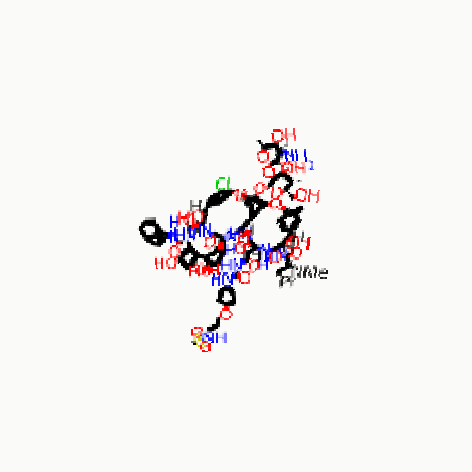 CN[C@H](CC(C)C)C(=O)N[C@H]1C(=O)N[C@@H](CC(=O)NC(=O)Nc2ccc(OCCCNS(C)(=O)=O)cc2)C(=O)N[C@H]2C(=O)N[C@H]3C(=O)N[C@H](C(=O)N[C@H](C(=O)NC4C5CC6CC(C5)CC4C6)c4cc(O)cc(O)c4-c4cc3ccc4O)[C@H](O)c3ccc(c(Cl)c3)Oc3cc2cc(c3O[C@@H]2O[C@H](CO)[C@@H](C)[C@H](O)[C@H]2O[C@H]2C[C@](C)(N)[C@H](O)[C@H](C)O2)Oc2ccc(cc2C)[C@H]1O